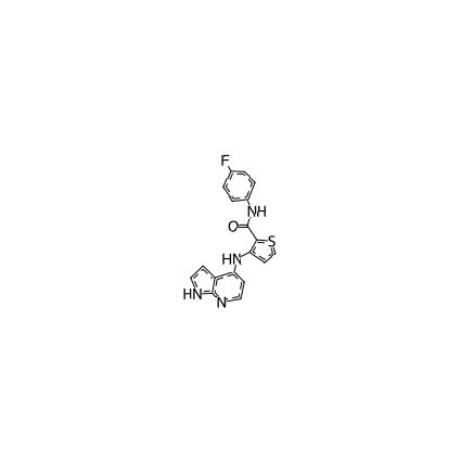 O=C(Nc1ccc(F)cc1)c1sccc1Nc1ccnc2[nH]ccc12